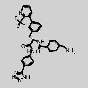 NCC1CCC(C(=O)N[C@@H](Cc2cccc(-c3cccnc3C(F)(F)F)c2)C(=O)Nc2ccc(-c3nnn[nH]3)cc2)CC1